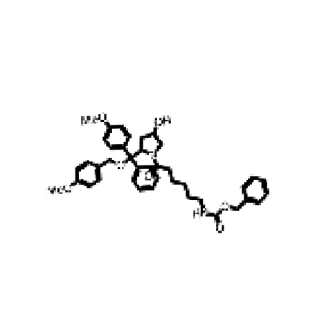 COc1ccc(COC(c2ccccc2)(c2ccc(OC)cc2)C2CC(O)CN2C(=O)CCCCCNC(=O)OCc2ccccc2)cc1